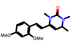 COc1ccc(C=CC2=CC(C)N(C)C(=O)N2C)c(OC)c1